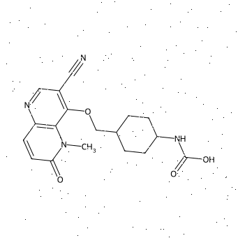 Cn1c(=O)ccc2ncc(C#N)c(OCC3CCC(NC(=O)O)CC3)c21